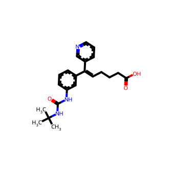 CC(C)(C)NC(=O)Nc1cccc(C(=CCCCC(=O)O)c2cccnc2)c1